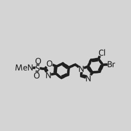 CNS(=O)(=O)c1nc2ccc(Cn3cnc4cc(Br)c(Cl)cc43)cc2o1